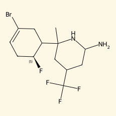 CC1(C2CC(Br)=CC[C@@H]2F)CC(C(F)(F)F)CC(N)N1